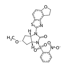 CO[C@H]1C[C@@H]2[C@H](C1)N(c1nc3c4c(ccc3s1)OCC4)C(=O)N2S(=O)(=O)c1ccccc1[N+](=O)[O-]